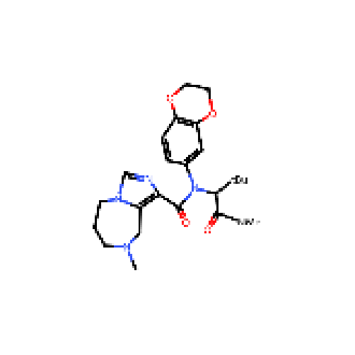 CNC(=O)C(N(C(=O)c1ncn2c1CN(C)CCC2)c1ccc2c(c1)OCCO2)C(C)(C)C